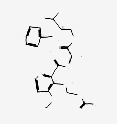 COc1ccnc(C(=O)N[C@@H](C)C(=O)O[C@@H](C)[C@H](Oc2ccccc2)C(C)C)c1OCOC(C)=O